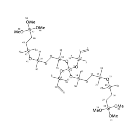 C=C[Si](C)(C)O[Si](O[Si](C)(C)C=C)(O[Si](C)(C)CC[Si](C)(C)O[Si](C)(C)CC[Si](OC)(OC)OC)O[Si](C)(C)CC[Si](C)(C)O[Si](C)(C)CC[Si](OC)(OC)OC